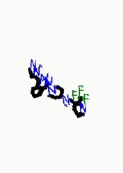 CN(Cc1cccnc1C(F)(F)F)C1CCN(c2nnc(-c3ccnn3C)c3ccccc23)CC1